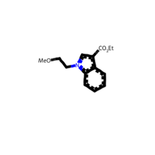 CCOC(=O)c1cn(CCOC)c2ccccc12